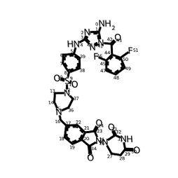 Nc1nc(Nc2ccc(S(=O)(=O)N3CCN(Cc4ccc5c(c4)C(=O)N(N4CCC(=O)NC4=O)C5=O)CC3)cc2)nn1C(=O)c1c(F)cccc1F